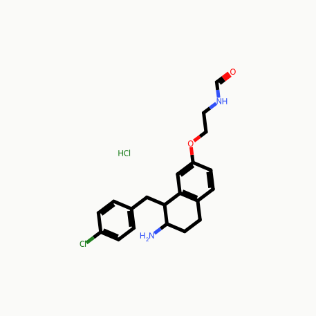 Cl.NC1CCc2ccc(OCCNC=O)cc2C1Cc1ccc(Cl)cc1